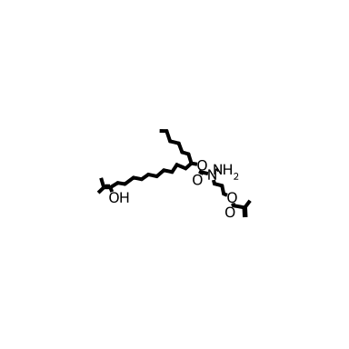 C=C(C)C(=O)OCCCN(N)C(=O)OC(CCCCCC)CCCCCCCCCCC(O)=C(C)C